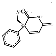 CC[C@]1(c2ccccc2)C=CC(=O)NC1=O